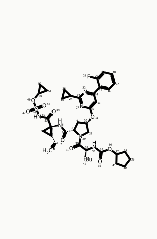 C=C[C@@H]1C[C@]1(NC(=O)[C@@H]1C[C@@H](Oc2cc(-c3ccccc3F)nc(C3CC3)n2)CN1C(=O)[C@@H](NC(=O)OC1CCCC1)C(C)(C)C)C(=O)NS(=O)(=O)OC1CC1